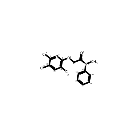 CN(C(=O)COc1nc(Cl)c(Cl)cc1Cl)c1ccccc1